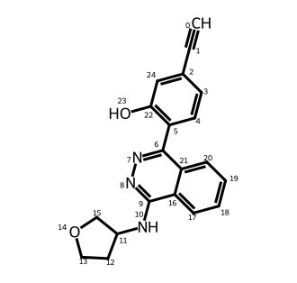 C#Cc1ccc(-c2nnc(NC3CCOC3)c3ccccc23)c(O)c1